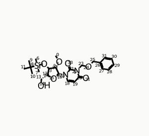 CO[C@H]1C(O[Si](C)(C)C(C)(C)C)[C@@H](CO)O[C@H]1n1ccc(=O)n(COCc2ccccc2)c1=O